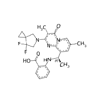 Cc1cc([C@@H](C)Nc2ccccc2C(=O)O)c2nc(N3CC(F)(F)C4(CC4)C3)c(C)c(=O)n2c1